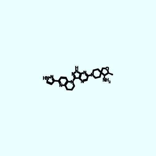 C[C@@H]1OCC2(CCN(c3cnc4c(N5CCCc6nc(-c7cc[nH]n7)ccc65)n[nH]c4n3)CC2)[C@@H]1N